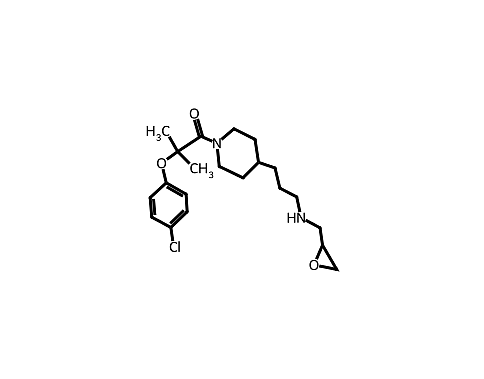 CC(C)(Oc1ccc(Cl)cc1)C(=O)N1CCC(CCCNCC2CO2)CC1